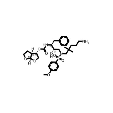 COc1ccc(S(=O)(=O)N(C[C@H](O)[C@H](Cc2ccccc2)NC(=O)O[C@@H]2CO[C@@H]3OCC[C@@H]32)CC(C)(C)CCCN)cc1